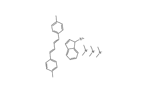 C[N-]C.C[N-]C.C[N-]C.Cc1ccc(C=CC=Cc2ccc(C)cc2)cc1.[Ti+3][CH]1C=Cc2ccccc21